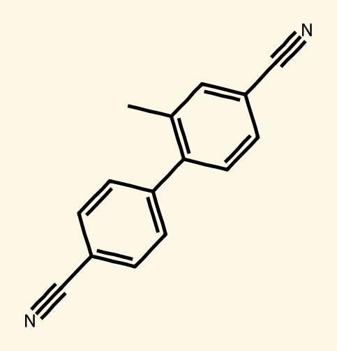 Cc1cc(C#N)ccc1-c1ccc(C#N)cc1